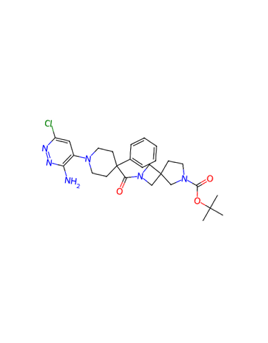 CC(C)(C)OC(=O)N1CCC2(C1)CN(C(=O)C1(c3ccccc3)CCN(c3cc(Cl)nnc3N)CC1)C2